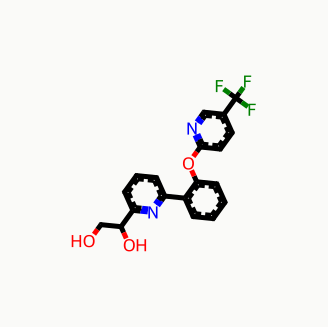 OCC(O)c1cccc(-c2ccccc2Oc2ccc(C(F)(F)F)cn2)n1